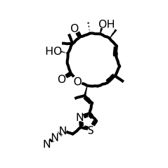 C/C1=C/C[C@@H](/C(C)=C/c2csc(CN=[N+]=[N-])n2)OC(=O)C[C@H](O)C(C)(C)C(=O)[C@H](C)[C@@H](O)[C@@H](C)/C=C/C1